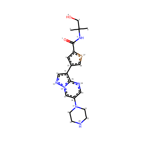 CC(C)(CO)NC(=O)c1cc(-c2cnn3cc(N4CCNCC4)cnc23)cs1